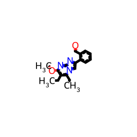 CCc1c(OC)nc2nc(-c3ccccc3C=O)cn2c1CC